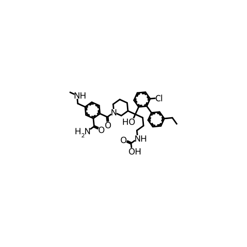 CCc1cccc(-c2c(Cl)cccc2C(O)(CCCNC(=O)O)C2CCCN(C(=O)c3ccc(CNC)cc3C(N)=O)C2)c1